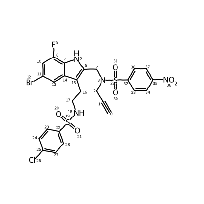 C#CCN(Cc1[nH]c2c(F)cc(Br)cc2c1CCNS(=O)(=O)c1ccc(Cl)cc1)S(=O)(=O)c1ccc([N+](=O)[O-])cc1